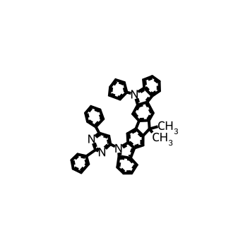 CC1(C)c2cc3c4ccccc4n(-c4ccccc4)c3cc2-c2cc3c(cc21)c1ccccc1n3-c1cc(-c2ccccc2)nc(-c2ccccc2)n1